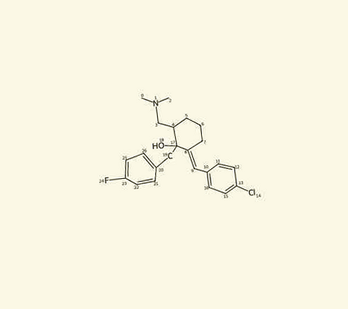 CN(C)CC1CCCC(=Cc2ccc(Cl)cc2)C1(O)Cc1ccc(F)cc1